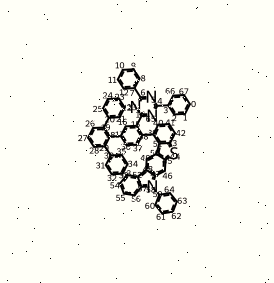 c1ccc(-c2nc(-c3ccccc3)nc(-c3cc(-c4c(-c5ccccc5)cccc4-c4ccccc4)ccc3-c3cccc4sc5cc6c(cc5c34)c3ccccc3n6-c3ccccc3)n2)cc1